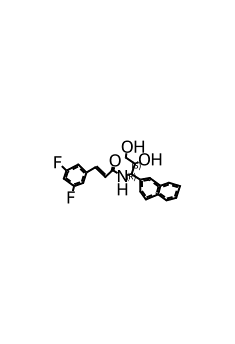 O=C(C=Cc1cc(F)cc(F)c1)N[C@H](c1ccc2ccccc2c1)[C@H](O)CO